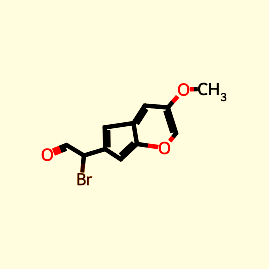 COc1coc2cc(C(Br)C=O)cc-2c1